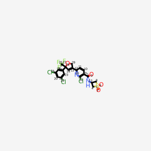 O=C(NC1CS(=O)(=O)C1)c1ccc(C2=CC(c3cc(Cl)cc(Cl)c3)(C(F)(F)F)OC2)nc1Cl